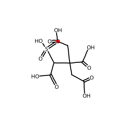 O=C(O)CC(CC(=O)O)(C(=O)O)C(C(=O)O)S(=O)(=O)O